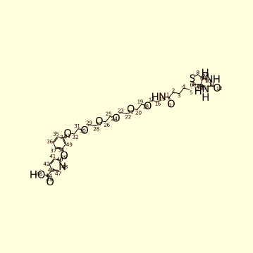 O=C(CCCC[C@@H]1SC[C@@H]2NC(=O)N[C@@H]21)NCCOCCOCCOCCOCCOCCOc1cccc(Oc2ccc(C(=O)O)cn2)c1